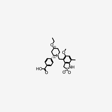 CCO[C@H]1CCN(Cc2c(OC)cc(C)c3c2CS(=O)(=O)N3)[C@H](c2ccc(C(=O)O)cc2)C1